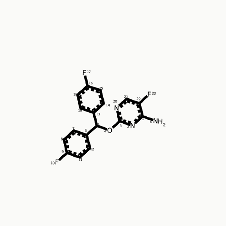 Nc1nc(OC(c2ccc(F)cc2)c2ccc(F)cc2)ncc1F